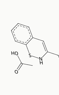 CC(=O)O.CCC1=Cc2ccccc2SN1